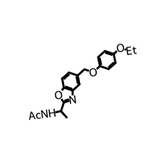 CCOc1ccc(OCc2ccc3oc(C(C)NC(C)=O)nc3c2)cc1